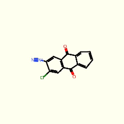 N#[N+]c1cc2c(cc1Cl)C(=O)c1ccccc1C2=O